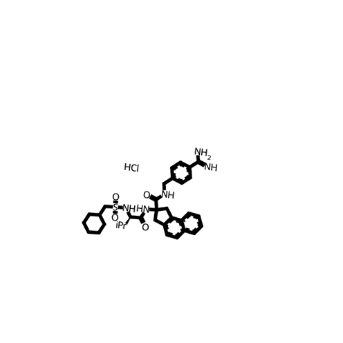 CC(C)[C@@H](NS(=O)(=O)CC1CCCCC1)C(=O)NC1(C(=O)NCc2ccc(C(=N)N)cc2)Cc2ccc3ccccc3c2C1.Cl